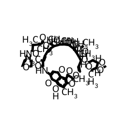 CC(=O)O[C@H]1[C@H](C)[C@H](O)[C@H](C)[C@@H](O)[C@@H](C(C)OC(=O)C(C)(C)CC(=O)NN2CCOCC2)/C=C/C=C(/C)C(=O)NC2=CC(=O)c3c(c(O)c(C)c4c3C(=O)[C@@](C)(O/C=C/[C@H](O[C@H]3C[C@@H]5OCO[C@@H]5[C@@H](C)O3)[C@H]1C)O4)C2=O